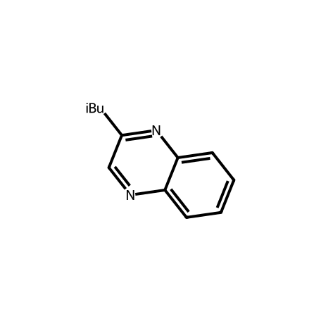 CCC(C)c1cnc2ccccc2n1